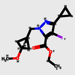 CCOC(=O)c1c(I)c(C2CC2)nn1CC12CC(OC)(C1)C2